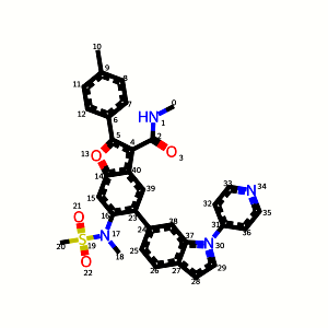 CNC(=O)c1c(-c2ccc(C)cc2)oc2cc(N(C)S(C)(=O)=O)c(-c3ccc4ccn(-c5ccncc5)c4c3)cc12